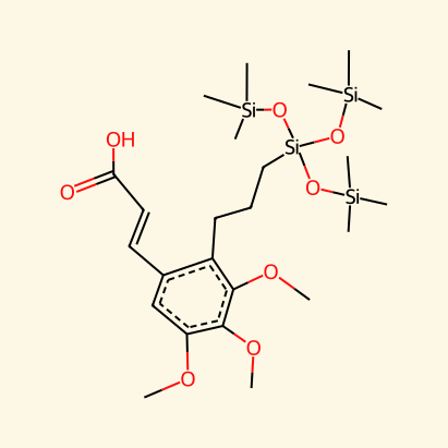 COc1cc(/C=C/C(=O)O)c(CCC[Si](O[Si](C)(C)C)(O[Si](C)(C)C)O[Si](C)(C)C)c(OC)c1OC